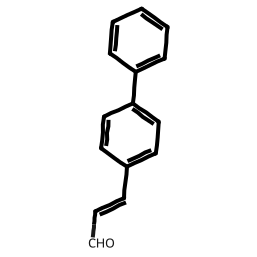 O=C/C=C/c1ccc(-c2ccccc2)cc1